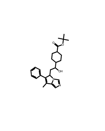 CC1=C(c2ccccc2)C(CC(O)C2CCC(C(=O)OC(C)(C)C)CC2)n2cncc21